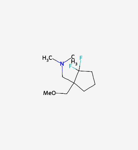 COCC1(CN(C)C)CCCC1(F)F